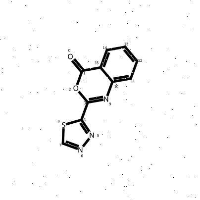 O=c1oc(-c2nncs2)nc2ccccc12